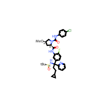 CO[C@@H]1C[C@H](C(=O)Nc2cc(C(CCC3CC3)(N[S@@+]([O-])C(C)(C)C)c3ccccn3)ccc2F)N(C(=O)Nc2ccc(Cl)cc2)C1